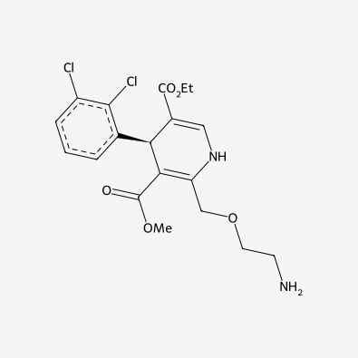 CCOC(=O)C1=CNC(COCCN)=C(C(=O)OC)[C@H]1c1cccc(Cl)c1Cl